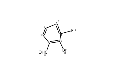 O=Cc1ccnc(F)c1Br